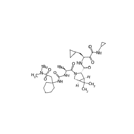 CN(C(C)(C)C)S(=O)(=O)CC1(NC(=O)N[C@H](C(=O)N2C[C@H]3[C@@H]([C@H]2C(=O)N[C@@H](CC2CC2)C(=O)C(=O)NC2CC2)C3(C)C)C(C)(C)C)CCCCC1